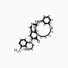 Cc1cccc2c1NCCN2c1cc2cnc3nc2n(c1=O)CCCCOc1cccc(c1)N3